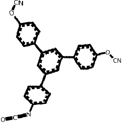 N#COc1ccc(-c2cc(-c3ccc(N=C=O)cc3)cc(-c3ccc(OC#N)cc3)c2)cc1